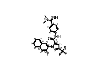 CN(C)C(=N)c1ccc(NC(=O)c2cc(C(F)(F)F)nn2-c2cc3ccccc3cc2F)cc1